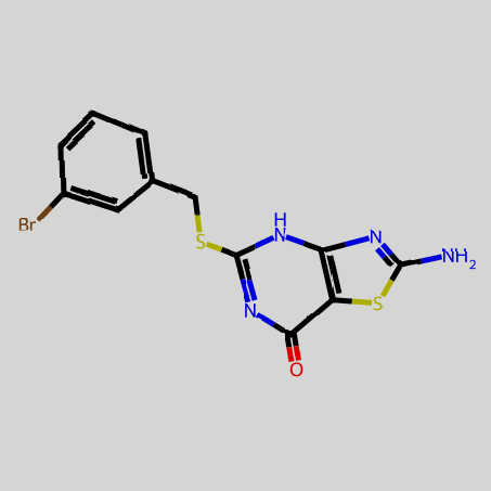 Nc1nc2[nH]c(SCc3cccc(Br)c3)nc(=O)c2s1